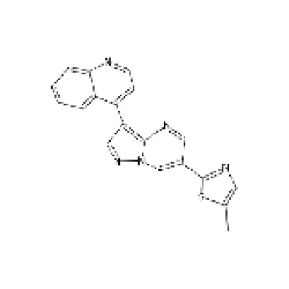 Cc1cnc(-c2cnc3c(-c4ccnc5ccccc45)cnn3c2)s1